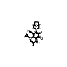 Cc1cn(C2CC2)c2c(C#N)c(N3CC4CCC(C3)N4)c(F)c(Cl)c2c1=O